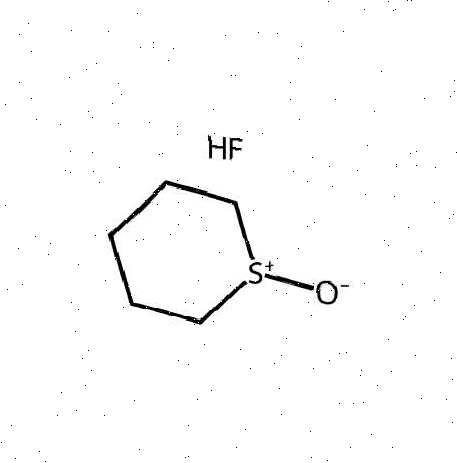 F.[O-][S+]1CCCCC1